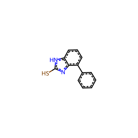 Sc1nc2c(-c3ccccc3)cccc2[nH]1